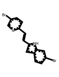 Brc1ccc(/C=C/c2cc3ccc(Br)cc3[nH]2)nc1